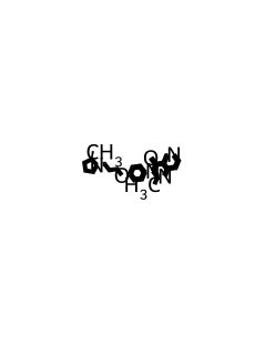 Cc1nc2ccncc2c(=O)n1-c1ccc(OCCCN2CCC[C@H]2C)cc1